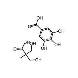 CC(CO)(CO)C(=O)O.O=C(O)c1cc(O)c(O)c(O)c1